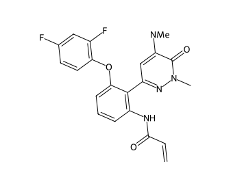 C=CC(=O)Nc1cccc(Oc2ccc(F)cc2F)c1-c1cc(NC)c(=O)n(C)n1